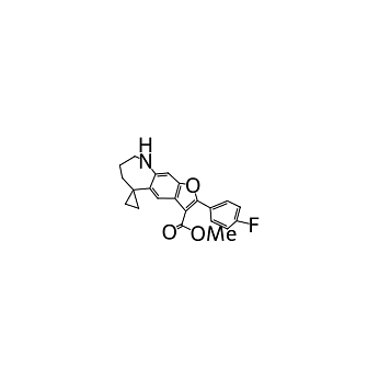 COC(=O)c1c(-c2ccc(F)cc2)oc2cc3c(cc12)C1(CCCN3)CC1